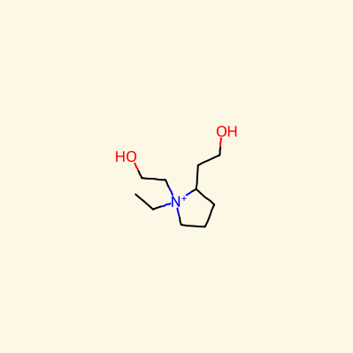 CC[N+]1(CCO)CCCC1CCO